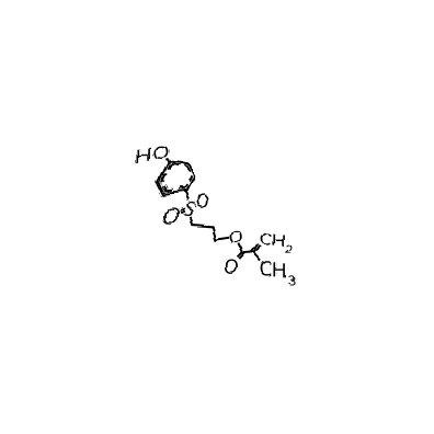 C=C(C)C(=O)OCCCS(=O)(=O)c1ccc(O)cc1